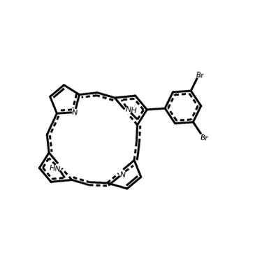 Brc1cc(Br)cc(-c2cc3cc4nc(cc5ccc(cc6nc(cc2[nH]3)C=C6)[nH]5)C=C4)c1